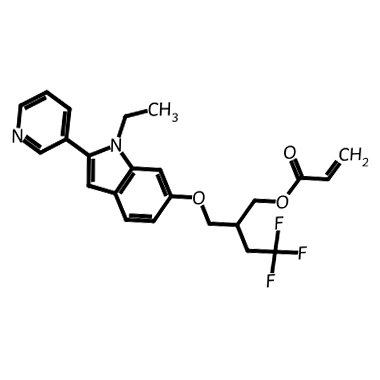 C=CC(=O)OCC(COc1ccc2cc(-c3cccnc3)n(CC)c2c1)CC(F)(F)F